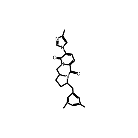 Cc1cc(C)cc(CC2CCC3Cn4c(ccc(-n5cnc(C)c5)c4=O)C(=O)N23)c1